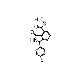 COC(=O)c1cccc2c1C(=O)NC2c1ccc(F)cc1